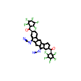 N#C/N=c1/c2cc(C(=O)c3c(F)c(F)c(F)c(F)c3F)ccc2c2cc3c(cc12)/c(=N/C#N)c1cc(C(=O)c2c(F)c(F)c(F)c(F)c2F)ccc13